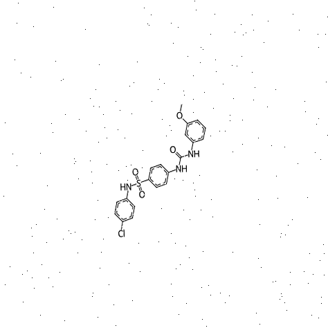 COc1cccc(NC(=O)Nc2ccc(S(=O)(=O)Nc3ccc(Cl)cc3)cc2)c1